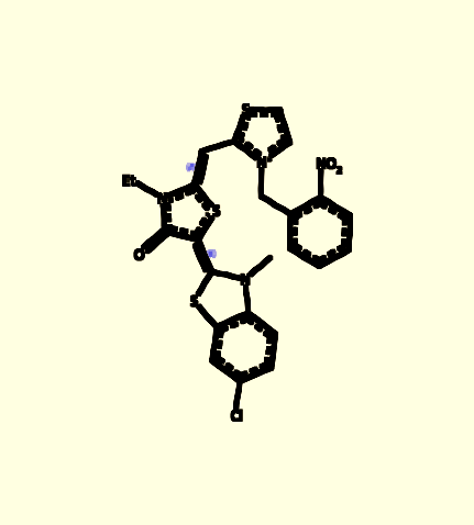 CCn1c(=O)/c(=C2\Sc3cc(Cl)ccc3N2C)s/c1=C\c1scc[n+]1Cc1ccccc1[N+](=O)[O-]